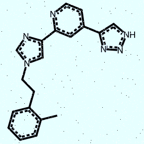 Cc1ccccc1CCn1cnc(-c2cc(-c3c[nH]nn3)ccn2)c1